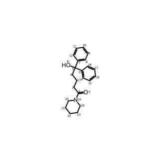 O=C(CCCC(O)(c1ccccc1)c1ccccc1)N1CCCCC1